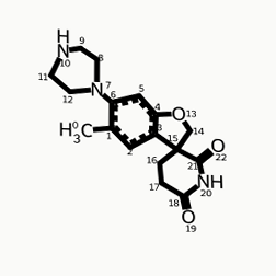 Cc1cc2c(cc1N1CCNCC1)OCC21CCC(=O)NC1=O